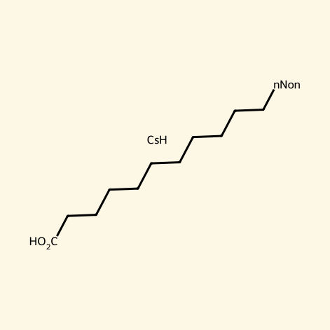 CCCCCCCCCCCCCCCCCCCC(=O)O.[CsH]